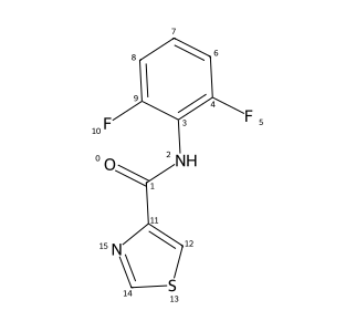 O=C(Nc1c(F)cccc1F)c1cscn1